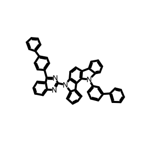 c1ccc(-c2ccc(-c3nc(-n4c5ccccc5c5c4ccc4c6ccccc6n(-c6cccc(-c7ccccc7)c6)c45)nc4ccccc34)cc2)cc1